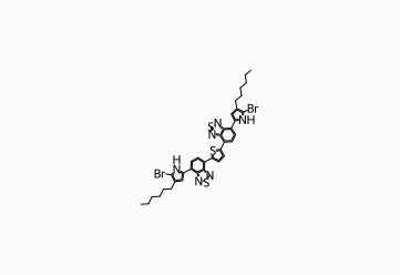 CCCCCCc1cc(-c2ccc(-c3ccc(-c4ccc(-c5cc(CCCCCC)c(Br)[nH]5)c5nsnc45)s3)c3nsnc23)[nH]c1Br